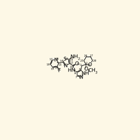 COC1(Cc2[nH]ncc2NC(=O)c2nc(-c3ncccc3F)sc2N)CCCCO1